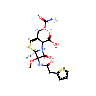 COC1(NC(=O)Cc2cccs2)C(=O)N2C(C(=O)O)C(COC(N)=O)=CS[C@@H]21